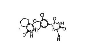 C[C@@H]1CCCc2c(Oc3c(Cl)cc(-n4nc(C#N)c(=O)[nH]c4=O)cc3Cl)n[nH]c(=O)c21